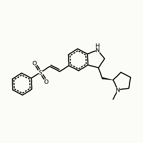 CN1CCC[C@@H]1CC1CNc2ccc(/C=C/S(=O)(=O)c3ccccc3)cc21